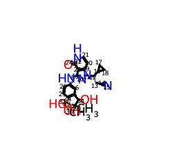 CC1(C)[C@@H](O)c2cc(Nc3nn([C@@H](CC#N)C4CC4)c4cc[nH]c(=O)c34)ccc2S1(O)O